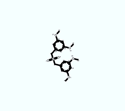 COc1cc(CS(=O)(=O)Cc2cc(OC)cc(OC)c2)cc(OC)c1